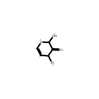 CCC1C=COC(O)C1=O